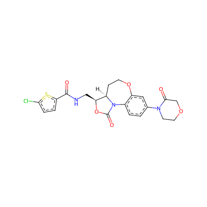 O=C(NC[C@@H]1OC(=O)N2c3ccc(N4CCOCC4=O)cc3OCC[C@H]12)c1ccc(Cl)s1